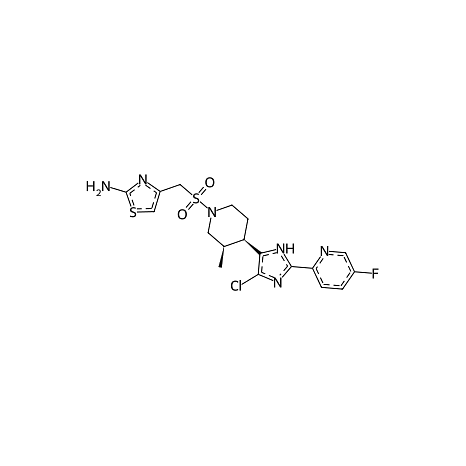 C[C@H]1CN(S(=O)(=O)Cc2csc(N)n2)CC[C@H]1c1[nH]c(-c2ccc(F)cn2)nc1Cl